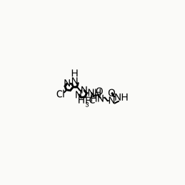 C[C@H](Nc1nc(-c2c[nH]c3ncc(Cl)cc23)ncc1F)C(=O)NCCN1CCNC1=O